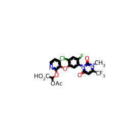 CC(=O)OC(Oc1ncccc1Oc1cc(-n2c(=O)cc(C(F)(F)F)n(C)c2=O)c(F)cc1Cl)C(=O)O